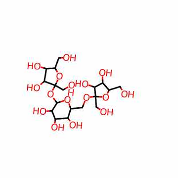 OCC1OC(CO)(OCC2OC(OC3(CO)OC(CO)C(O)C3O)C(O)C(O)C2O)C(O)C1O